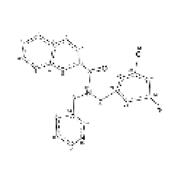 O=C(c1ccc2ccccc2c1)N(Cc1cccnc1)Cc1cc(Cl)cc(Cl)c1